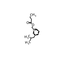 CCCC(=O)OC[n+]1cccc(CC(C)C)c1